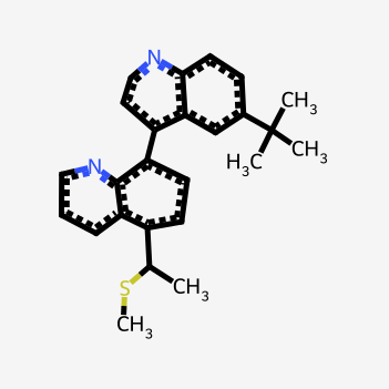 CSC(C)c1ccc(-c2ccnc3ccc(C(C)(C)C)cc23)c2ncccc12